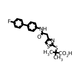 CC(C)(Sc1nc(CC(=O)Nc2ccc(-c3ccc(F)cc3)cc2)cs1)C(=O)O